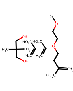 C=C(CCOCCOCC)C(=O)O.C=CC(=O)O.C=CC(=O)O.CC(C)(CO)CO